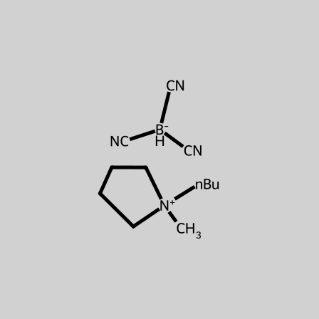 CCCC[N+]1(C)CCCC1.N#C[BH-](C#N)C#N